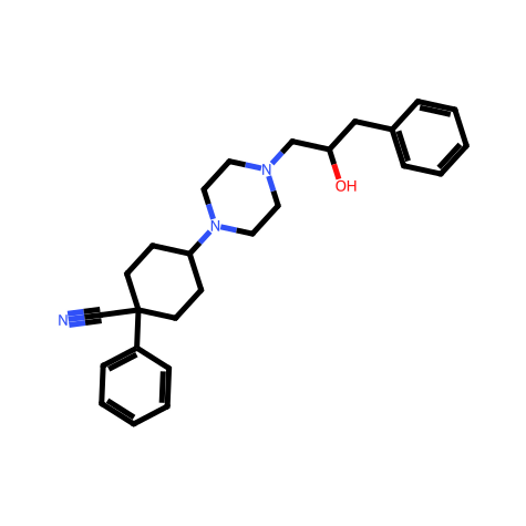 N#CC1(c2ccccc2)CCC(N2CCN(CC(O)Cc3ccccc3)CC2)CC1